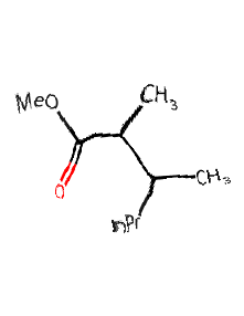 CCCC(C)C(C)C(=O)OC